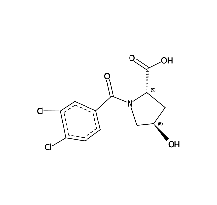 O=C(O)[C@@H]1C[C@@H](O)CN1C(=O)c1ccc(Cl)c(Cl)c1